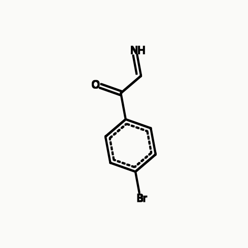 N=CC(=O)c1ccc(Br)cc1